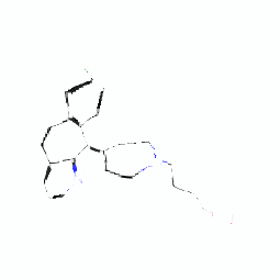 OCCCCN1CCC(=C2c3ccc(Cl)cc3CCc3cccnc32)CC1